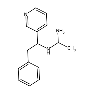 CC(N)NC(Cc1ccccc1)c1cccnc1